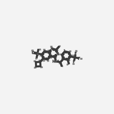 Cc1nc(NC(C)c2cccc(C(F)(F)F)c2C)c2cc(C3CCC3)c(P(C)(C)=O)cc2n1